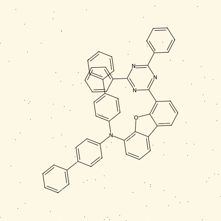 c1ccc(-c2ccc(N(c3ccc(-c4ccccc4)cc3)c3cccc4c3oc3c(-c5nc(-c6ccccc6)nc(-c6ccccc6)n5)cccc34)cc2)cc1